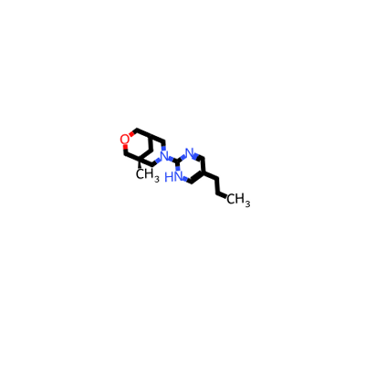 CCCC1=CNC(N2CC3COC[C@](C)(C3)C2)N=C1